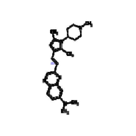 Cc1cc(/C=C/c2cnc3ccc(N(C)C)cc3n2)c(C)n1C1CCN(C)CC1